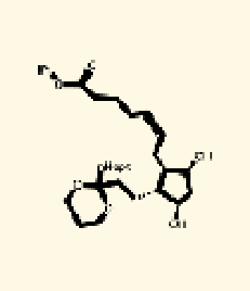 CCCCCCCC1(CC[C@@H]2[C@@H](C/C=C\CCCC(=O)OC(C)C)[C@@H](O)C[C@H]2O)OCCCO1